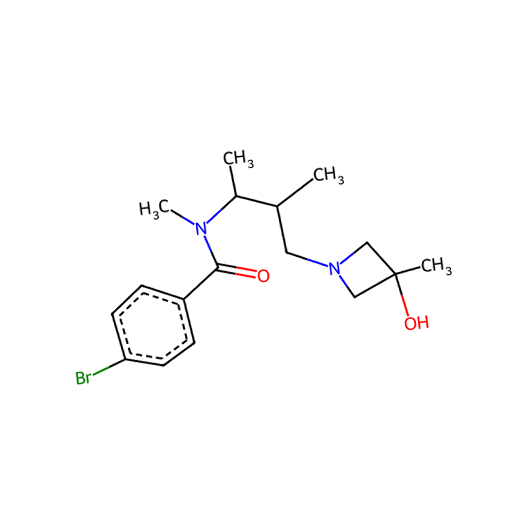 CC(CN1CC(C)(O)C1)C(C)N(C)C(=O)c1ccc(Br)cc1